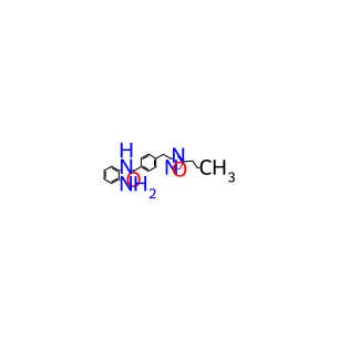 CCCc1nc(Cc2ccc(C(=O)Nc3ccccc3N)cc2)no1